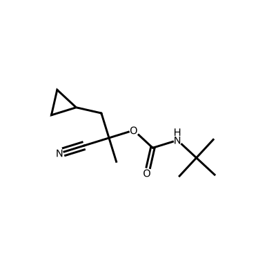 CC(C)(C)NC(=O)OC(C)(C#N)CC1CC1